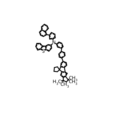 CC1(C)CC(C)(C)c2cc3c(cc21)-c1ccc(-c2ccc(-c4cccc(N(c5cccc(-c6cccc7ccccc67)c5)c5ccc6sc7ccccc7c6c5)c4)cc2)cc1C31CCCC1